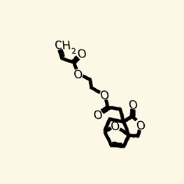 C=CC(=O)OCCOC(=O)CC12CC3C=CC1(COC2=O)O3